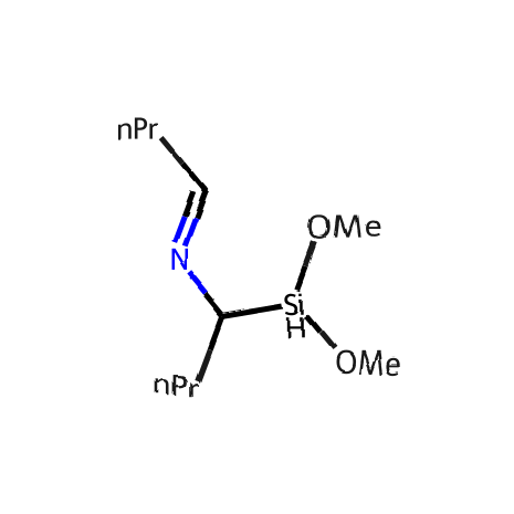 CCCC=NC(CCC)[SiH](OC)OC